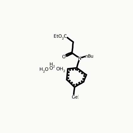 CCCCN(C(=O)CC(=O)OCC)c1cc[c]([Ge])cc1.O.O.O